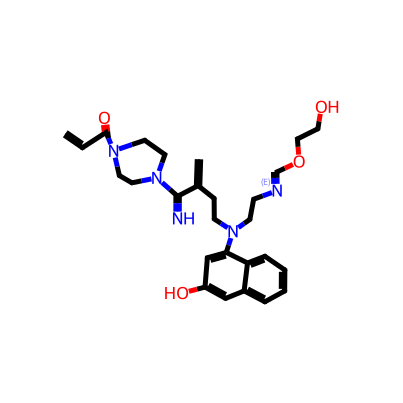 C=CC(=O)N1CCN(C(=N)C(=C)CCN(CC/N=C/OCCO)c2cc(O)cc3ccccc23)CC1